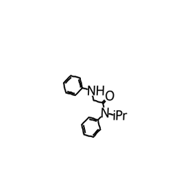 CC(C)N(C(=O)CNc1ccccc1)c1ccccc1